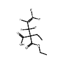 CCOC(=O)C(CC)(C(=O)O)C(F)(F)C(F)=C(F)F